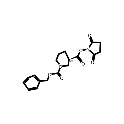 O=C(ON1C(=O)CCC1=O)[C@@H]1CCCN(C(=O)OCc2ccccc2)C1